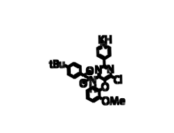 COc1ccccc1Oc1c(Cl)nc(-c2ccncc2)nc1NS(=O)(=O)c1ccc(C(C)(C)C)cc1.[KH]